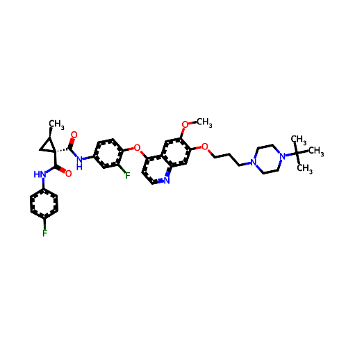 COc1cc2c(Oc3ccc(NC(=O)[C@]4(C(=O)Nc5ccc(F)cc5)C[C@H]4C)cc3F)ccnc2cc1OCCCN1CCN(C(C)(C)C)CC1